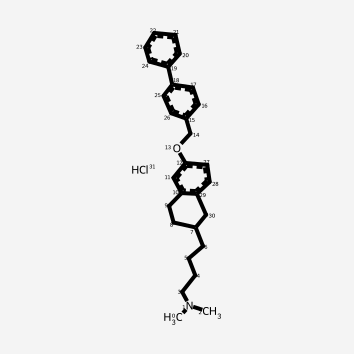 CN(C)CCCCC1CCc2cc(OCc3ccc(-c4ccccc4)cc3)ccc2C1.Cl